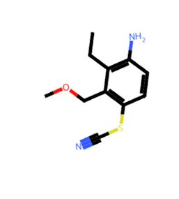 CCc1c(N)ccc(SC#N)c1COC